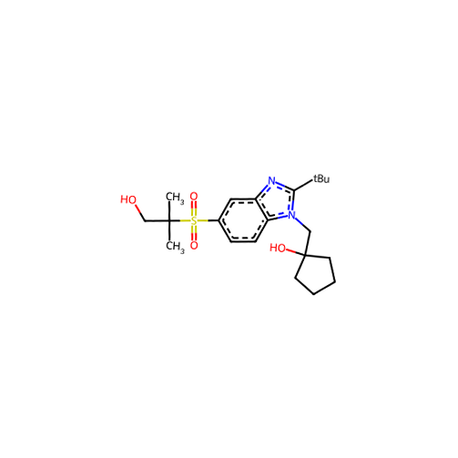 CC(C)(C)c1nc2cc(S(=O)(=O)C(C)(C)CO)ccc2n1CC1(O)CCCC1